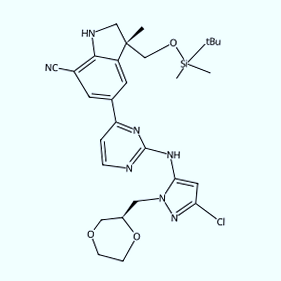 CC(C)(C)[Si](C)(C)OC[C@@]1(C)CNc2c(C#N)cc(-c3ccnc(Nc4cc(Cl)nn4C[C@@H]4COCCO4)n3)cc21